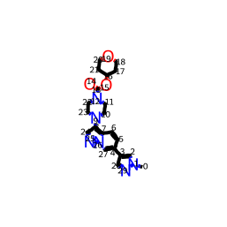 Cn1cc(-c2ccc3c(N4CCN(C(=O)OC5CCOCC5)CC4)cnn3c2)cn1